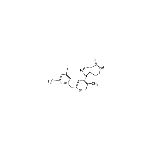 Cc1cnc(Cc2cc(F)cc(C(F)(F)F)c2)cc1-n1ncc2c1CCNC2=O